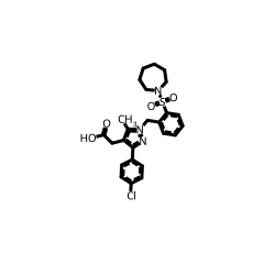 Cc1c(CC(=O)O)c(-c2ccc(Cl)cc2)nn1Cc1ccccc1S(=O)(=O)N1CCCCCC1